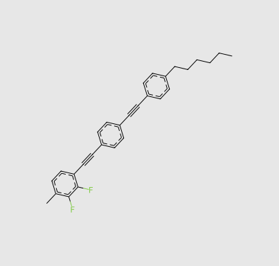 CCCCCCc1ccc(C#Cc2ccc(C#Cc3ccc(C)c(F)c3F)cc2)cc1